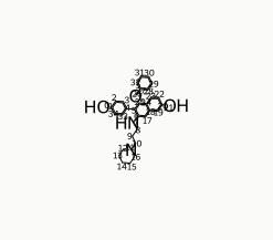 Oc1ccc(-c2c(NCCCN3CCCCC3)cc3cc(O)ccc3c2Oc2ccccc2)cc1